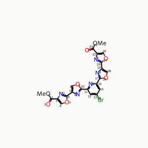 COC(=O)c1coc(-c2coc(-c3cc(Br)cc(-c4nc(-c5nc(C(=O)OC)co5)co4)n3)n2)n1